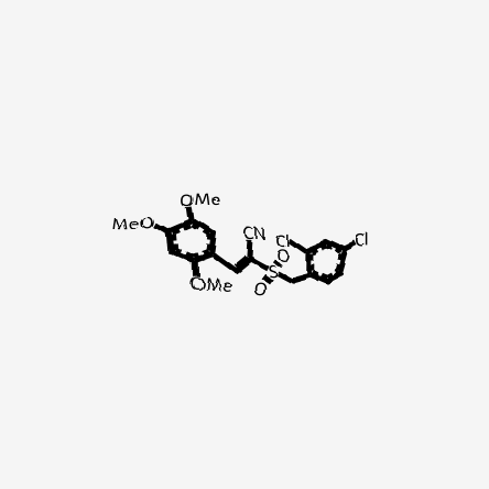 COc1cc(OC)c(OC)cc1/C=C(\C#N)S(=O)(=O)Cc1ccc(Cl)cc1Cl